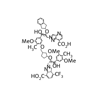 COc1cc([C@@H](O)[C@H](CN2CC3C(C(F)(F)F)=CC=C(C(=O)O)C3=N2)OC2CCC(COc3cc([C@@H](O)[C@H](Cn4cc5nccc(C(=O)O)c5n4)OC4Cc5ccccc5C4)cc(OC)c3C)C2)cc(OC)c1C